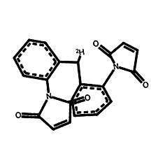 [2H]C(c1ccccc1N1C(=O)C=CC1=O)c1ccccc1N1C(=O)C=CC1=O